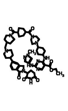 CCOC(=O)c1cnc(Nc2cnn(C)c2)nc1NC1CCC(N2CCN(C(=O)C3CCC(C(=O)N4CCC(CN5CCC(c6ccc7c(c6)CN(C6CCC(=O)NC6=O)C7=O)CC5)CC4)CC3)CC2)CC1